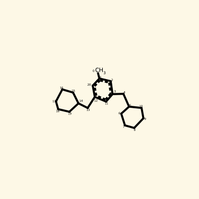 Cc1cc(CC2CCCCC2)cc(CC2CCCCC2)c1